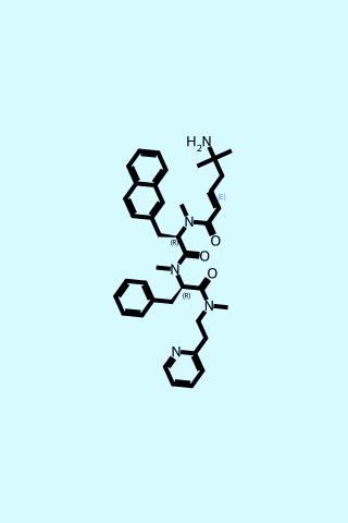 CN(CCc1ccccn1)C(=O)[C@@H](Cc1ccccc1)N(C)C(=O)[C@@H](Cc1ccc2ccccc2c1)N(C)C(=O)/C=C/CC(C)(C)N